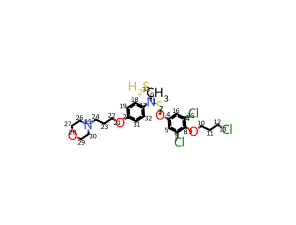 CN(SOc1cc(Cl)c(OCCCCl)c(Cl)c1)c1ccc(OCCCN2CCOCC2)cc1.S